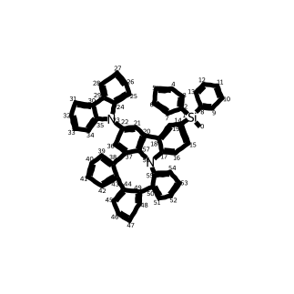 C[Si](c1ccccc1)(c1ccccc1)c1ccc2c(c1)c1cc(-n3c4ccccc4c4ccccc43)cc3c4ccccc4c4ccccc4c4ccccc4n2c31